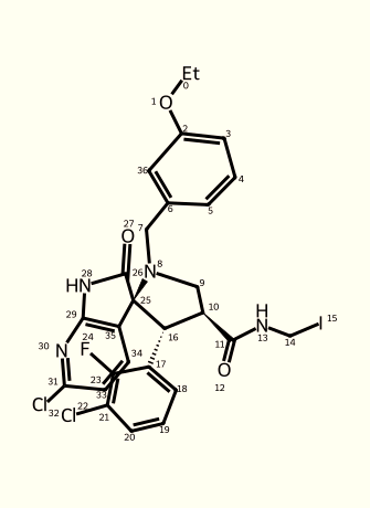 CCOc1cccc(CN2C[C@@H](C(=O)NCI)[C@H](c3cccc(Cl)c3F)[C@]23C(=O)Nc2nc(Cl)ccc23)c1